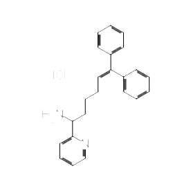 Cl.NC(CCCC=C(c1ccccc1)c1ccccc1)c1ccccn1